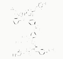 CCCOC1(c2ccccc2C)CN(C(=O)[C@@H](Cc2ccc(OC)cc2)NC(=O)CCc2c[nH]cn2)C1.COc1ccc(C[C@@H](NC(=O)CCc2c[nH]cn2)C(=O)N2CC(OCC3CC3)(c3ccccc3C)C2)cc1